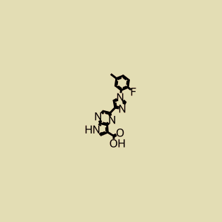 Cc1ccc(F)c(-n2cnc(-c3cnc4[nH]cc(C(=O)O)c4n3)c2)c1